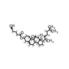 C#CCCCC(=O)OC1CC[C@@]2(C)C(=CCC3C2CC[C@@]2(C)C3CC[C@@H]2[C@H](C)CCCC(C)C)C1